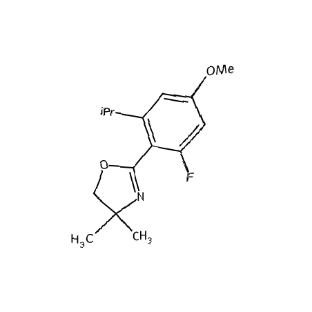 COc1cc(F)c(C2=NC(C)(C)CO2)c(C(C)C)c1